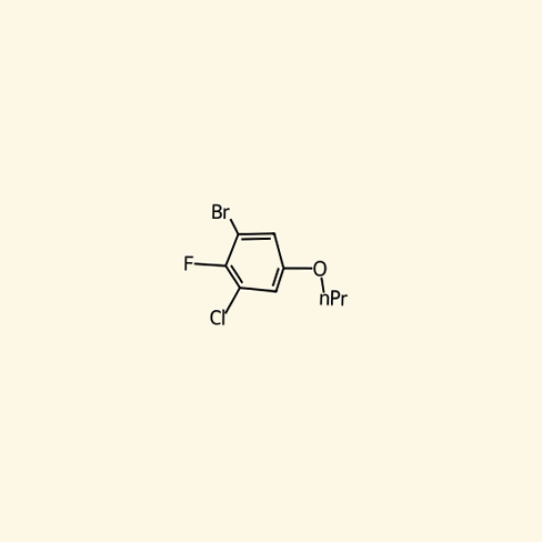 CCCOc1cc(Cl)c(F)c(Br)c1